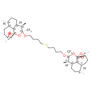 C[C@@H]1CC[C@H]2[C@@H](C)[C@](OCCCCSCCCCO[C@@]3(C(F)(F)F)O[C@@H]4O[C@]5(C)CC[C@H]6[C@H](C)CC[C@@H]([C@H]3C)[C@@]46OO5)(C(F)(F)F)O[C@@H]3O[C@]4(C)CC[C@@H]1[C@]32CO4